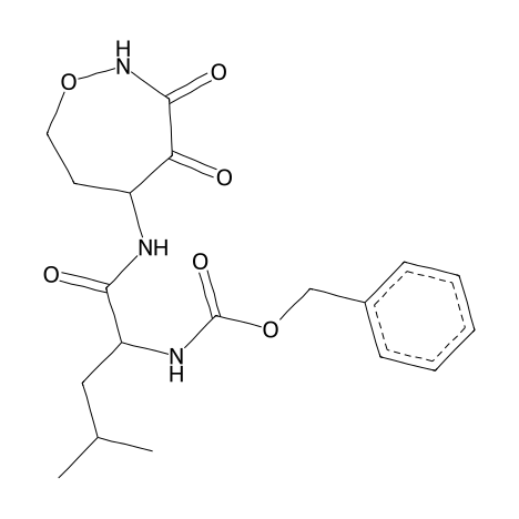 CC(C)CC(NC(=O)OCc1ccccc1)C(=O)NC1CCONC(=O)C1=O